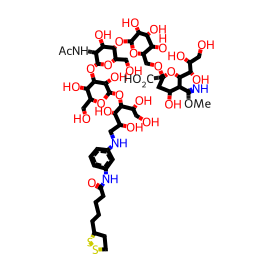 COC(=N)C1C(O)CC(OCC2OC(OC3C(CO)OC(OC4C(O)C(CO)OC(OC(C(O)CO)C(O)C(O)CNc5cccc(NC(=O)CCCCC6CCSS6)c5)C4O)C(NC(C)=O)C3O)C(O)C(O)C2O)(C(=O)O)OC1C(O)C(O)CO